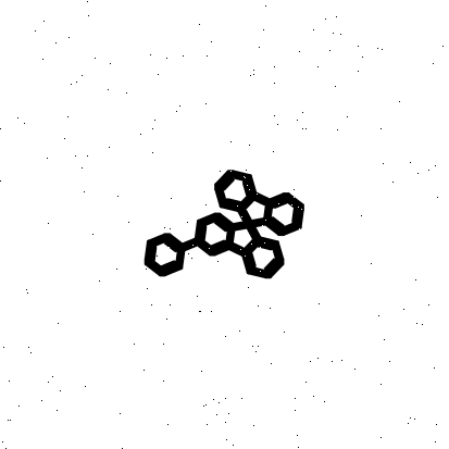 c1ccc(-c2ccc3c(c2)-c2ccccc2C32c3ccccc3-c3ccccc32)cc1